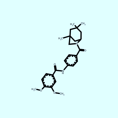 COc1ccc(C(=O)Nc2ccc(C(=O)N3CC4(C)CC3CC(C)(C)C4)cc2)cc1OC